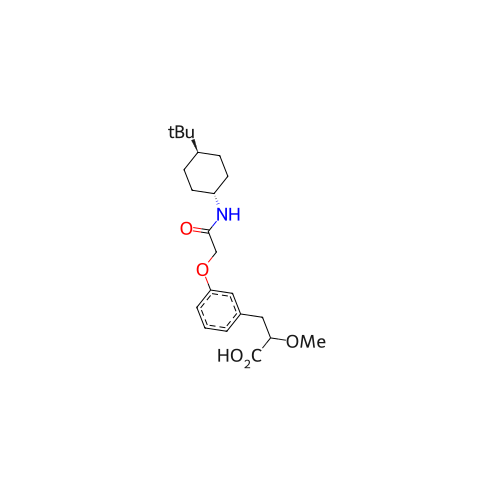 COC(Cc1cccc(OCC(=O)N[C@H]2CC[C@H](C(C)(C)C)CC2)c1)C(=O)O